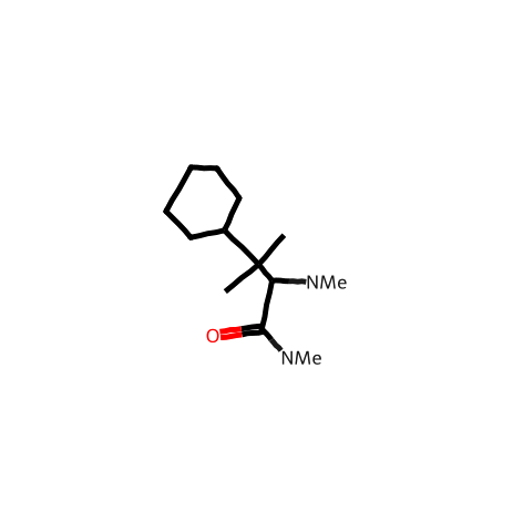 CNC(=O)C(NC)C(C)(C)C1CCCCC1